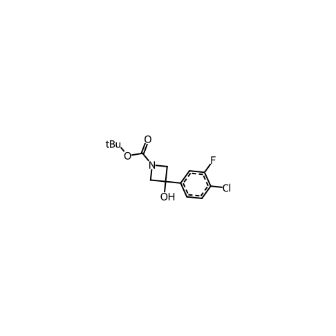 CC(C)(C)OC(=O)N1CC(O)(c2ccc(Cl)c(F)c2)C1